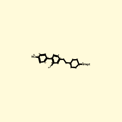 CCCCCCCC1CCC(CCc2ccc(-c3ccc(C#N)cc3)c(F)c2)CC1